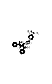 CN(C)C1CCN(C(=O)CNc2nnc(-c3ccccc3)c(Cl)c2C(=N)c2ccccc2)CC1